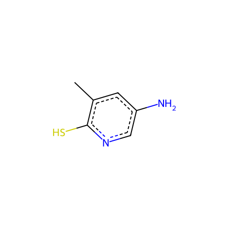 Cc1cc(N)cnc1S